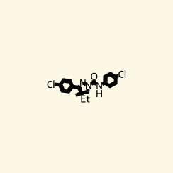 CCC1(C)CN(C(=O)Nc2ccc(Cl)cc2)N=C1c1ccc(Cl)cc1